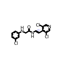 O=C(CNc1cccc(Cl)c1)N/C=C/c1c(Cl)cncc1Cl